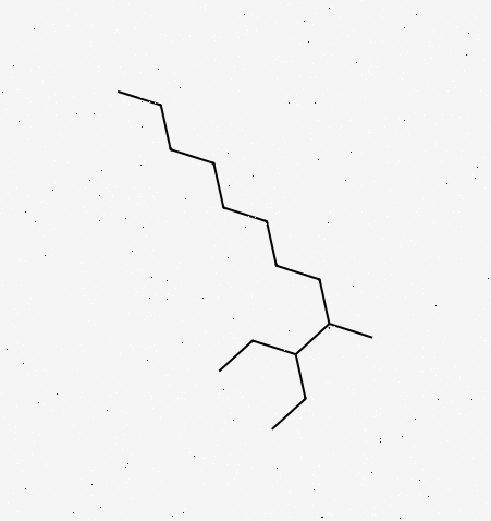 CCCCCCCC[C](C)C(CC)CC